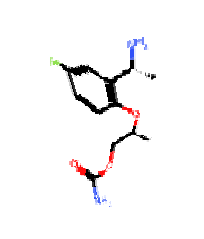 C[C@@H](COC(N)=O)Oc1ccc(F)cc1[C@@H](C)N